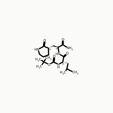 CC(C)C[C@H](NC(=O)OC(C)(C)C)C(=O)N[C@@H](C[C@@H]1CCCNC1=O)C(N)=O